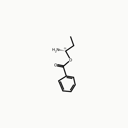 CC[C@@H](N)OC(=O)c1ccccc1